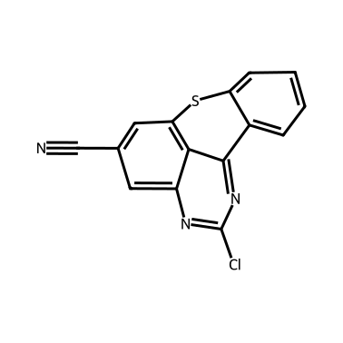 N#Cc1cc2c3c(nc(Cl)nc3c1)-c1ccccc1S2